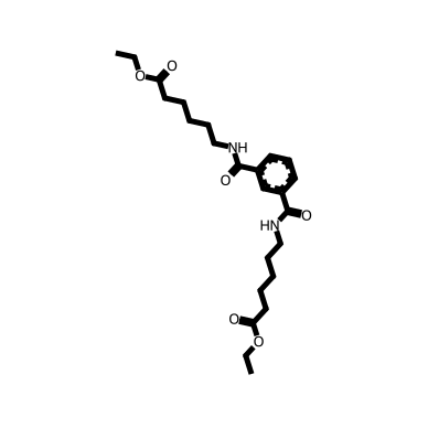 CCOC(=O)CCCCCNC(=O)c1cccc(C(=O)NCCCCCC(=O)OCC)c1